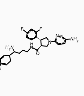 Nc1ccc(N2C[C@@H](C(=O)NCCC[C@H](N)C3C=CC(Cl)=CC3)[C@H](c3ccc(F)cc3F)C2)nn1